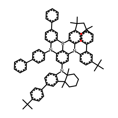 CC(C)(C)c1ccc(-c2ccc3c(c2)C2(C)CCCCC2(C)N3c2cc3c4c(c2)N(c2ccc(C(C)(C)C)cc2-c2ccccc2)c2cc5c(cc2B4c2cc(-c4ccccc4)ccc2N3c2ccc(-c3ccccc3)cc2)C(C)(C)CC5(C)C)cc1